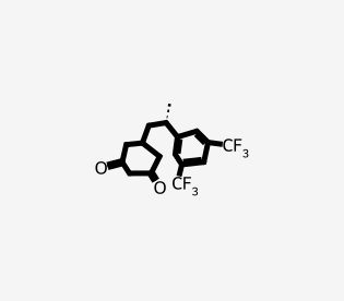 C[C@@H](CC1CC(=O)CC(=O)C1)c1cc(C(F)(F)F)cc(C(F)(F)F)c1